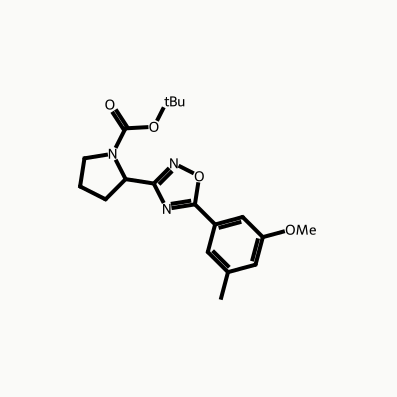 COc1cc(C)cc(-c2nc(C3CCCN3C(=O)OC(C)(C)C)no2)c1